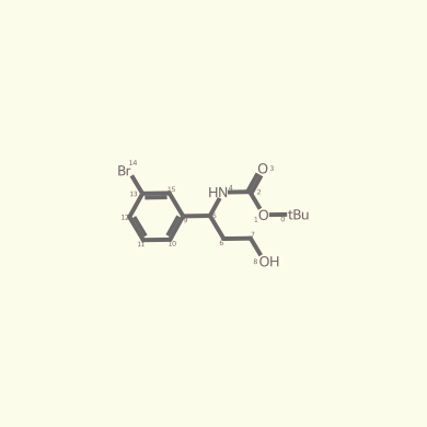 CC(C)(C)OC(=O)NC(CCO)c1cccc(Br)c1